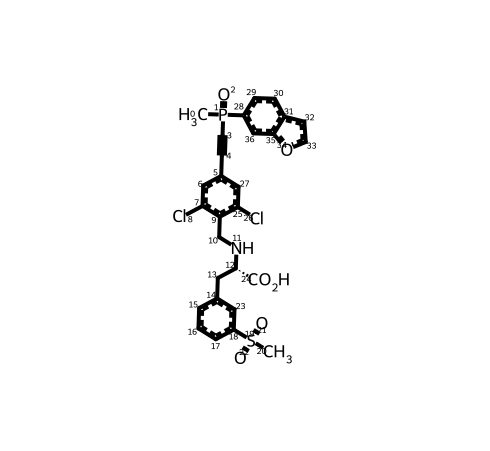 CP(=O)(C#Cc1cc(Cl)c(CN[C@@H](Cc2cccc(S(C)(=O)=O)c2)C(=O)O)c(Cl)c1)c1ccc2ccoc2c1